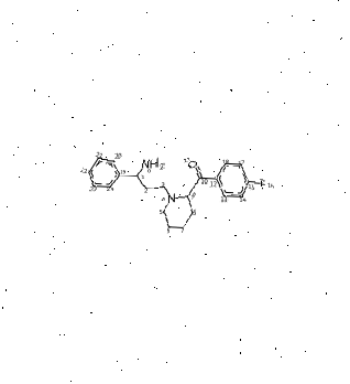 NC(CCN1CCCCC1C(=O)c1ccc(F)cc1)c1ccccc1